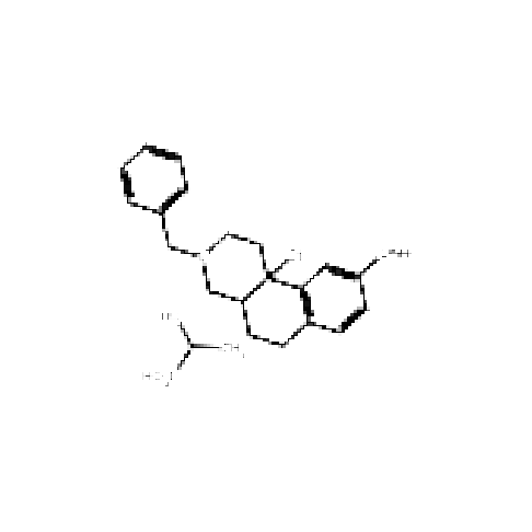 CC(O)C(=O)O.CCC12CCN(Cc3ccccc3)CC1CCc1ccc(OC)cc12